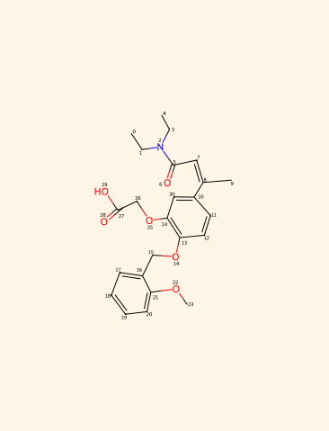 CCN(CC)C(=O)/C=C(/C)c1ccc(OCc2ccccc2OC)c(OCC(=O)O)c1